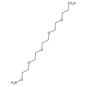 NOCCOCCOCCOCCOCCC(=O)O